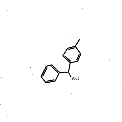 CCCCCCCCC(c1ccccc1)c1ccc(C)cc1